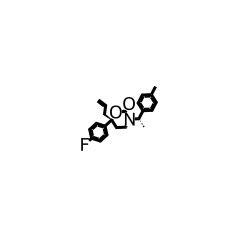 C=CC[C@]1(c2ccc(F)cc2)CCN([C@@H](C)c2ccc(C)cc2)C(=O)O1